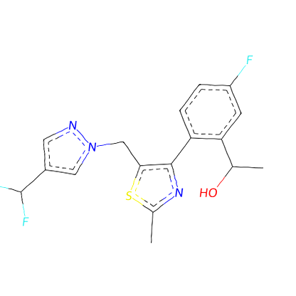 Cc1nc(-c2ccc(F)cc2C(C)O)c(Cn2cc(C(F)F)cn2)s1